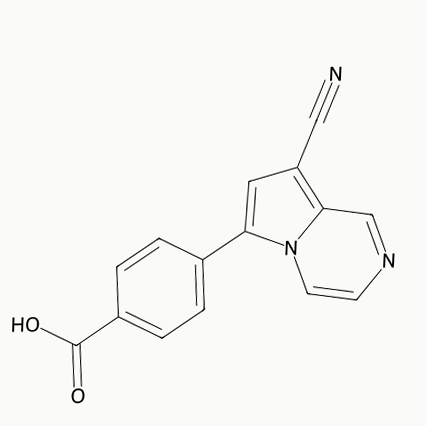 N#Cc1cc(-c2ccc(C(=O)O)cc2)n2ccncc12